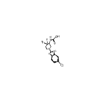 O=C(O)NC1CN(c2nc3ccc(Cl)cc3[nH]2)CCC1(F)F